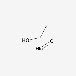 CCO.[O]=[InH]